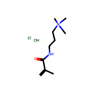 C=C(C)C(=O)NCCC[N+](C)(C)C.Cl.[Cl-]